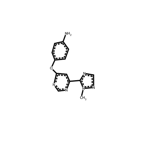 Cn1ncnc1-c1cc(Oc2ccc(N)cc2)ncn1